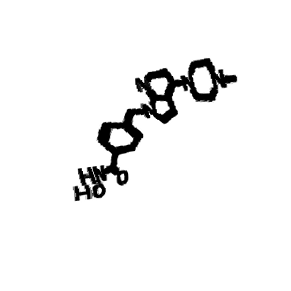 CN1CCN(c2ccnc3c2ccn3Cc2ccc(C(=O)NO)cc2)CC1